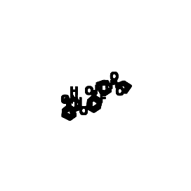 O=C(c1cc(Oc2n[nH]c(=O)c3ccccc23)ccc1F)N1CCN(C(=O)[C@H]2CCCO2)CC1